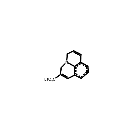 CCOC(=O)C1=Cc2cccc3c2N(CC=C3)C1